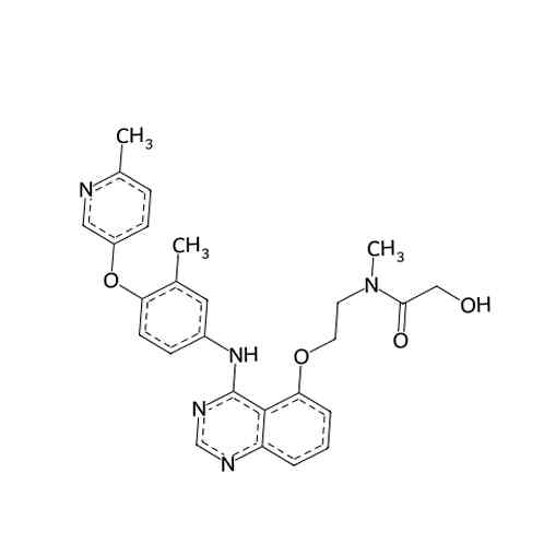 Cc1ccc(Oc2ccc(Nc3ncnc4cccc(OCCN(C)C(=O)CO)c34)cc2C)cn1